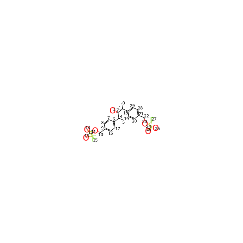 CC(C(=O)C(C)c1ccc(COS(=O)(=O)F)cc1)c1ccc(COS(=O)(=O)F)cc1